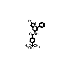 CCc1cc2nc(NC(=O)c3ccc(C(C)(C)O)cc3)cc(-c3ccccc3)n2n1